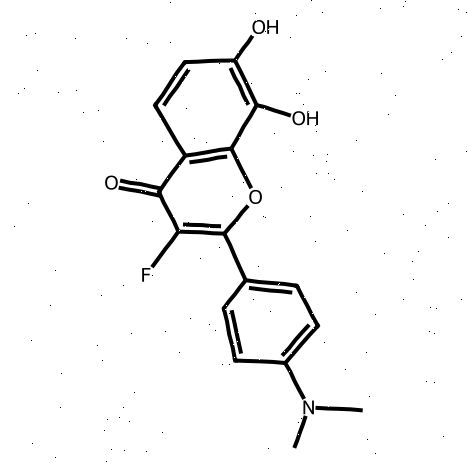 CN(C)c1ccc(-c2oc3c(O)c(O)ccc3c(=O)c2F)cc1